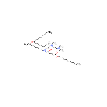 C=C(CCCCCCCN(CCCCCC(=O)OCCCCCCCCCCC)CC(O)CN(C)CCCN(C)C)OC(CCCCCCCC)CCCCCCCC